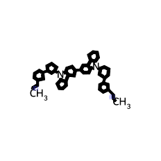 C/C=C/c1cccc(-c2cccc(-n3c4ccccc4c4cc(-c5ccc6c(c5)c5ccccc5n6-c5cccc(-c6cccc(/C=C/C)c6)c5)ccc43)c2)c1